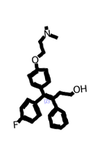 CN(C)CCOc1ccc(/C(=C(\CCO)c2ccccc2)c2ccc(F)cc2)cc1